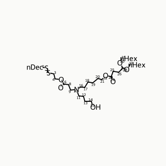 CCCCCCCCCCSSCCOC(=O)CCN(CCCCO)CCCCCCOC(=O)CCC(OCCCCCC)OCCCCCC